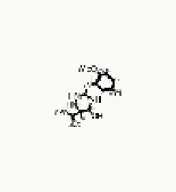 CCCC(CC)C1(C)NNC(Nc2cc(Cl)ccc2OC)NC1O